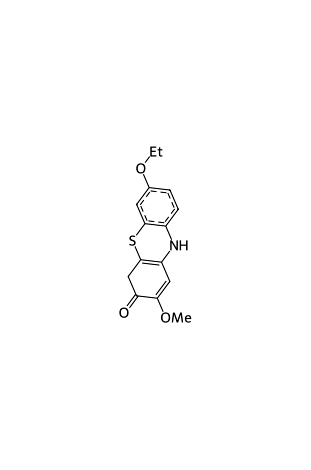 CCOc1ccc2c(c1)SC1=C(C=C(OC)C(=O)C1)N2